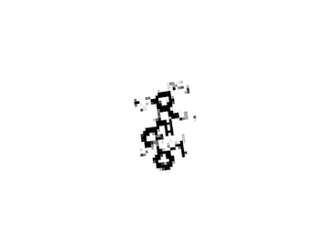 CC(NC(=O)c1ccc(=O)n(-c2ccccc2OC(F)F)n1)c1cc([N+](=O)[O-])cc(C(F)(F)F)c1